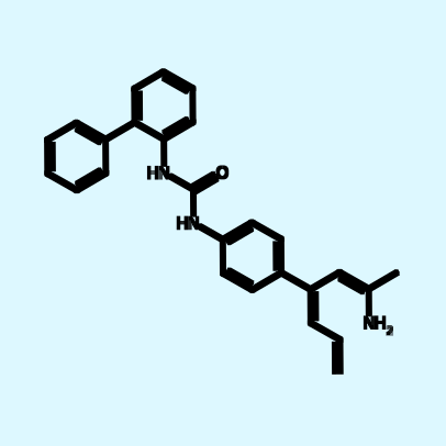 C=C/C=C(\C=C(\C)N)c1ccc(NC(=O)Nc2ccccc2-c2ccccc2)cc1